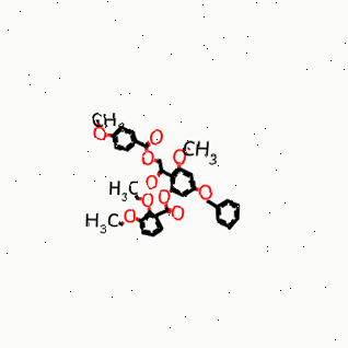 CCOc1cccc(C(=O)Oc2cc(OCc3ccccc3)cc(OC)c2C(=O)COC(=O)c2ccc(OC)cc2)c1OCC